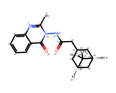 CC(C)c1nc2ccccc2c(=O)n1NC(=O)CC1C[C@@H]2C[C@H](C1)C2(C)C